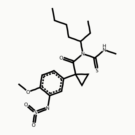 CCCCC(CC)N(C(=O)C1(c2ccc(OC)c(N=S(=O)=O)c2)CC1)C(=S)NC